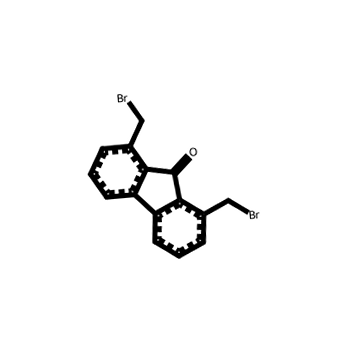 O=C1c2c(CBr)cccc2-c2cccc(CBr)c21